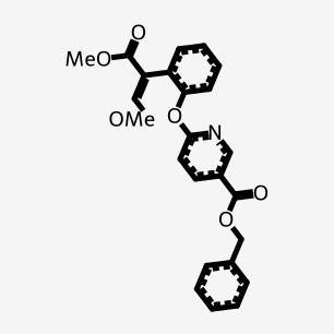 CO/C=C(/C(=O)OC)c1ccccc1Oc1ccc(C(=O)OCc2ccccc2)cn1